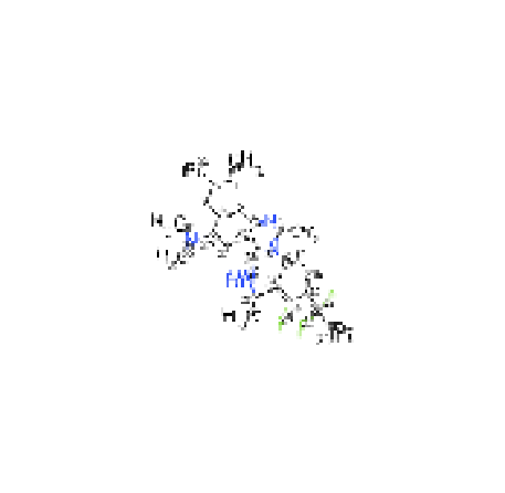 C=CC(Cc1cc2nc(C)nc(N[C@H](C)c3cccc(C(F)(F)C(C)C)c3F)c2cc1N(C)C)C(C)C